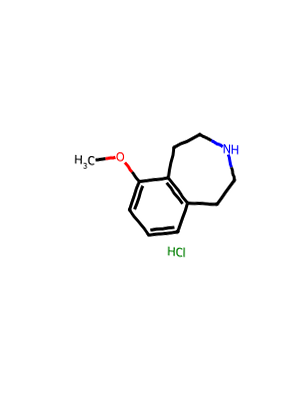 COc1cccc2c1CCNCC2.Cl